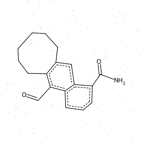 NC(=O)c1cccc2c(C=O)c3c(cc12)CCCCCC3